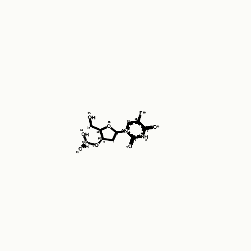 O=c1[nH]c(=O)n(C2C[C@@H](O[PH](=O)O)C(CO)O2)cc1F